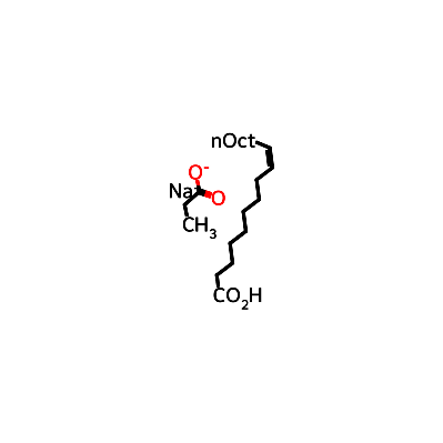 CCC(=O)[O-].CCCCCCCC/C=C\CCCCCCCC(=O)O.[Na+]